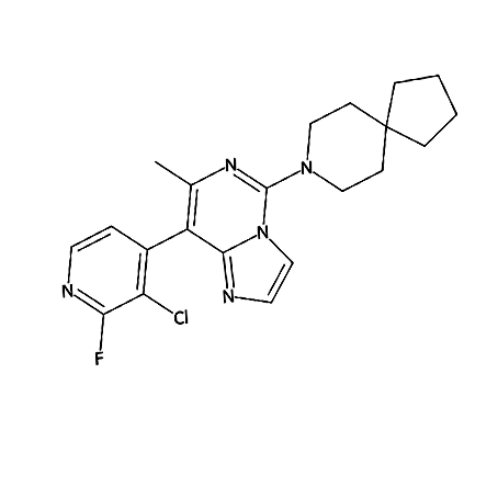 Cc1nc(N2CCC3(CCCC3)CC2)n2ccnc2c1-c1ccnc(F)c1Cl